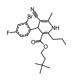 CCCC1=C(C(=O)OCCC(C)(C)C)C(c2ccc(F)cc2Br)C(C#N)=C(C)N1